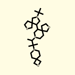 CC(N1CCC2(CCOC2)C(C2CN(C(C)(C)C)CC23CCOC3)C1)C(C)(C)N1CCC2(CC1)COC2